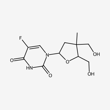 CC1(CO)CC(n2cc(F)c(=O)[nH]c2=O)OC1CO